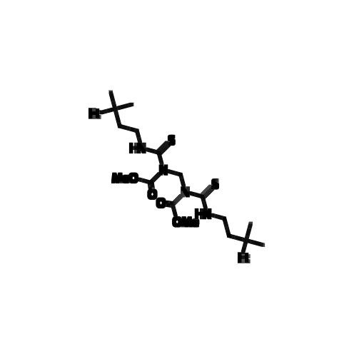 CCC(C)(C)CCNC(=S)N(CN(C(=O)OC)C(=S)NCCC(C)(C)CC)C(=O)OC